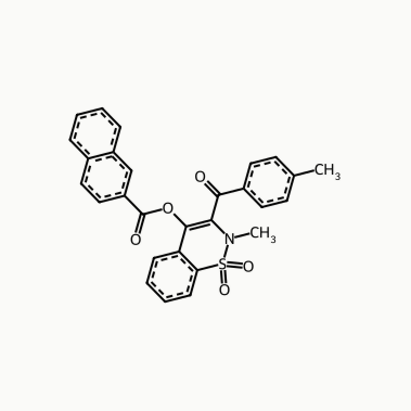 Cc1ccc(C(=O)C2=C(OC(=O)c3ccc4ccccc4c3)c3ccccc3S(=O)(=O)N2C)cc1